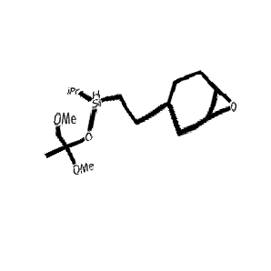 COC(C)(OC)O[SiH](CCC1CCC2OC2C1)C(C)C